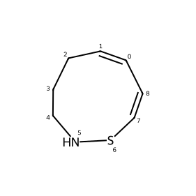 C1=CCCCNSC=C1